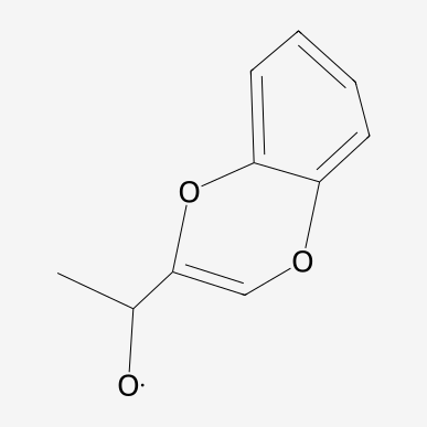 CC([O])C1=COc2ccccc2O1